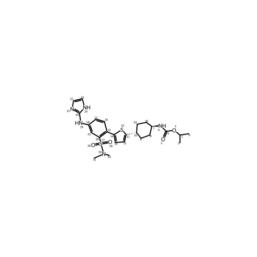 CC(C)OC(=O)N[C@H]1CC[C@H](c2ccc(-c3ccc(Nc4ncc[nH]4)cc3S(=O)(=O)N(C)C)s2)CC1